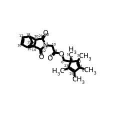 CC1=C(C)C(C)(COC(=O)CN2C(=O)C3=C4C=CC(C4)C3C2=O)C(C)=C1C